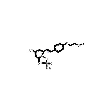 CCOCCOc1ccc(/C=C/c2cc(C)cc(=O)n2OS(C)(=O)=O)cc1